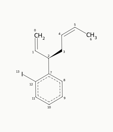 C=C[C@@H](C/C=C\C)c1ccccc1I